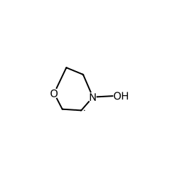 ON1[CH]COCC1